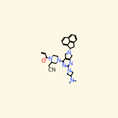 C=CC(=O)N1CCN(c2nc(N3CC(N(C)C)C3)nc3c2CN([C@@H]2Cc4cccc5cccc2c45)C3)CC1CC#N